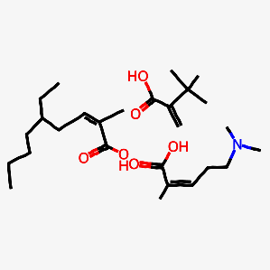 C=C(C(=O)O)C(C)(C)C.CC(=CCCN(C)C)C(=O)O.CCCCC(CC)CC=C(C)C(=O)O